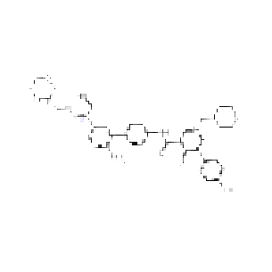 Cc1ccc(-c2cn(CC3CCOCC3)cc(C(=O)Nc3ccc(-c4cc(/C(C=N)=C/NC[C@H]5COCCO5)cnc4N)cc3)c2=O)cc1